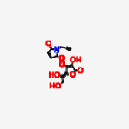 C#CCN1C(=O)C=CC1OOC1=C(O)C(=O)O[C@@H]1[C@@H](O)CO